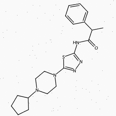 CC(C(=O)Nc1nnc(N2CCN(C3CCCC3)CC2)s1)c1ccccc1